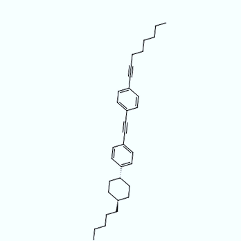 CCCCCCC#Cc1ccc(C#Cc2ccc([C@H]3CC[C@H](CCCCC)CC3)cc2)cc1